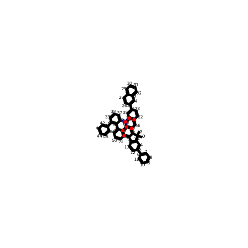 CC1(C)c2cc(-c3ccccc3)ccc2-c2ccc(N(c3cccc(-c4ccc5ccccc5c4)c3)c3cccc(-c4ccccc4)c3-c3ccccc3-c3ccccc3)cc21